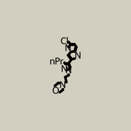 CCCc1nn(CCCN2CCOCC2)cc1-c1cnc2ccc(Cl)nc2c1